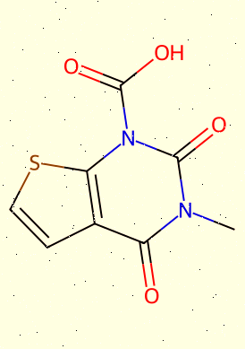 Cn1c(=O)c2ccsc2n(C(=O)O)c1=O